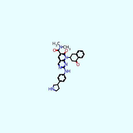 CN(C)C(=O)c1cc2cnc(Nc3ccc(C4CCNC4)cc3)nc2n(C2CC(=O)c3ccccc3C2)c1=O